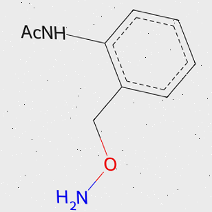 CC(=O)Nc1ccccc1CON